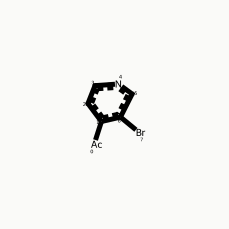 CC(=O)c1ccncc1Br